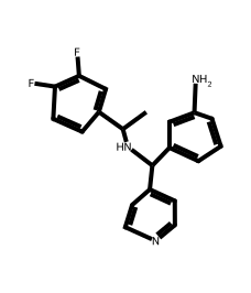 CC(NC(c1ccncc1)c1cccc(N)c1)c1ccc(F)c(F)c1